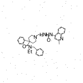 CCN(Cc1ccccc1)C(=O)C1(c2ccccc2)CCN(CCNC(=O)Nc2cc(C)nc3ccccc23)CC1